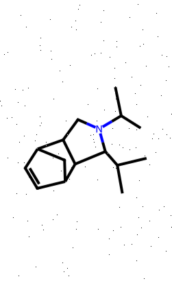 CC(C)C1C2C3C=CC(C3)C2CN1C(C)C